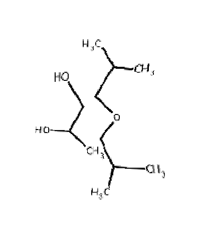 CC(C)COCC(C)C.CC(O)CO